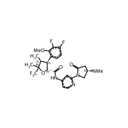 CN[C@@H]1CC(=O)N(c2cc(NC(=O)[C@@H]3O[C@@](C)(C(F)(F)F)[C@@H](C)[C@H]3c3ccc(F)c(F)c3OC)ccn2)C1